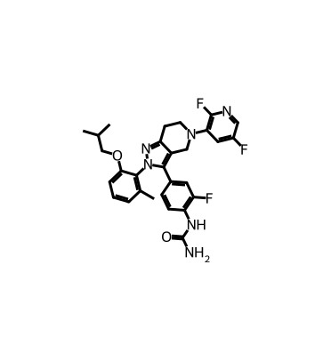 Cc1cccc(OCC(C)C)c1-n1nc2c(c1-c1ccc(NC(N)=O)c(F)c1)CN(c1cc(F)cnc1F)CC2